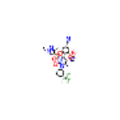 [C-]#[N+]C1=C(C)N(c2cccc(C(F)(F)F)c2)C(=O)N(S(=O)(=O)c2cn(CC)nc2C)[C@@H]1c1ccc(C#N)cc1S(C)(=O)=O